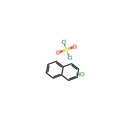 Cl.O=S(=O)(Cl)Cl.c1ccc2ccccc2c1